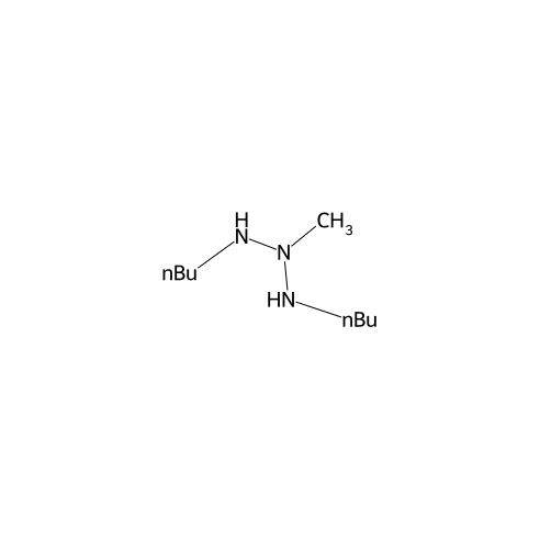 CCCCNN(C)NCCCC